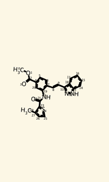 COC(=O)c1ccc(/C=C/c2n[nH]c3ccccc23)c(NC(=O)c2sccc2C)c1